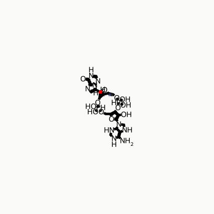 NC1=C2NCN(c3oc4c(c3O)O[PH](O)(O)O/C=C3/OC(c5cnc6c(=O)[nH]cnn56)=C(O[PH](O)(O)OC4)[C@@H]3O)C2NCN1